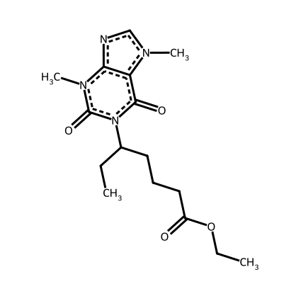 CCOC(=O)CCCC(CC)n1c(=O)c2c(ncn2C)n(C)c1=O